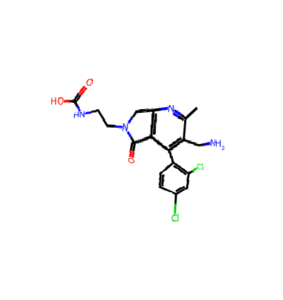 Cc1nc2c(c(-c3ccc(Cl)cc3Cl)c1CN)C(=O)N(CCNC(=O)O)C2